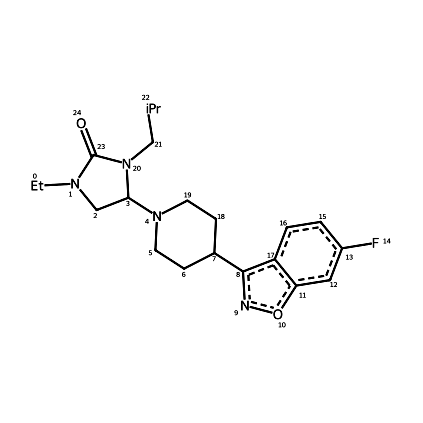 CCN1CC(N2CCC(c3noc4cc(F)ccc34)CC2)N(CC(C)C)C1=O